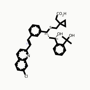 CC(C)(O)c1ccccc1[C@@H](O)C[C@@H](SCC1(CC(=O)O)CC1)c1cccc(/C=C/c2ccc3ccc(Cl)cc3n2)c1